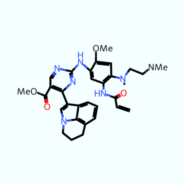 C=CC(=O)Nc1cc(Nc2ncc(C(=O)OC)c(-c3cn4c5c(cccc35)CCC4)n2)c(OC)cc1N(C)CCNC